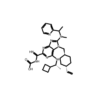 C=C[C@H]1CC[C@H](Cn2c(N(C)C(C)c3ccccn3)nc3nc(C(=N)NC(=O)O)nc(N[C@H](C)C4CCC4)c32)CC1